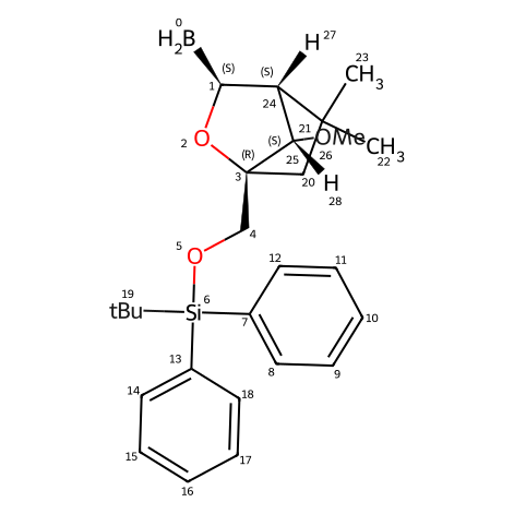 B[C@@H]1O[C@@]2(CO[Si](c3ccccc3)(c3ccccc3)C(C)(C)C)CC(C)(C)[C@@H]1[C@@H]2OC